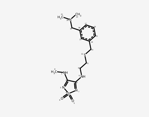 CNC1=NS(=O)(=O)N=C1NCCSCc1cccc(CN(C)C)c1